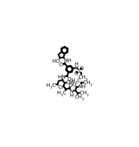 CCS(=O)(=O)Nc1cc(C(=O)NC(CC(C)C)C(O)CC(C)C(=O)NC(C(=O)NC(C)C)C(C)C)cc(C(=O)NC2c3ccccc3CC2O)c1